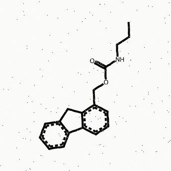 [CH2]CCNC(=O)OCc1cccc2c1Cc1ccccc1-2